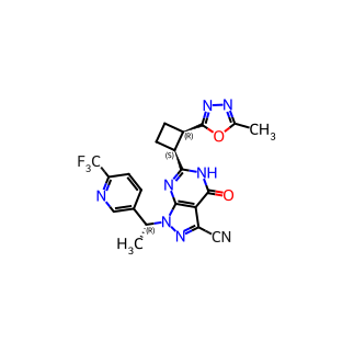 Cc1nnc([C@@H]2CC[C@@H]2c2nc3c(c(C#N)nn3[C@H](C)c3ccc(C(F)(F)F)nc3)c(=O)[nH]2)o1